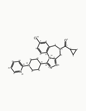 O=C(C1CC1)N1Cc2cc(Cl)ccc2-n2c(nnc2C2CCN(c3ccccn3)CC2)C1